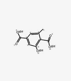 COC(=O)c1cc(C)c(C(=O)OC)c(OC)c1